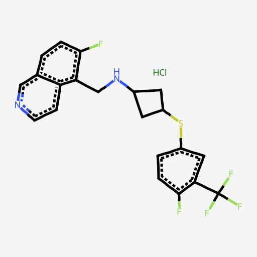 Cl.Fc1ccc(SC2CC(NCc3c(F)ccc4cnccc34)C2)cc1C(F)(F)F